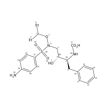 CCC(CC)ON(C[C@@H](O)[C@H](Cc1ccccc1)NC(=O)O)S(=O)(=O)c1ccc(N)cc1